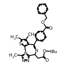 Cc1sc2c(c1C)C(c1ccc(C(=O)OCc3ccccc3)cc1)=NC(CC(=O)OC(C)(C)C)c1nnc(C)n1-2